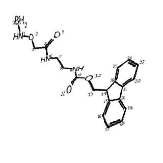 BNOCC(=O)NCCNC(=O)OCC1c2ccccc2-c2ccccc21